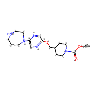 CC(C)(C)OC(=O)N1CCC(COc2cnc(N3CCCNCC3)cn2)CC1